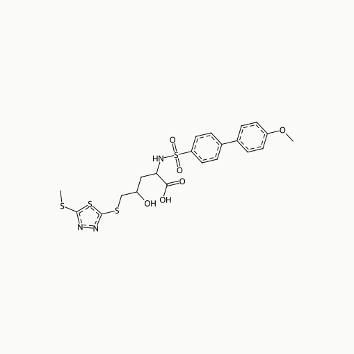 COc1ccc(-c2ccc(S(=O)(=O)NC(CC(O)CSc3nnc(SC)s3)C(=O)O)cc2)cc1